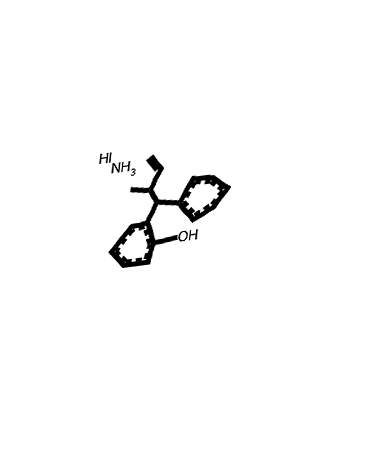 C=CC(C)C(c1ccccc1)c1ccccc1O.I.N